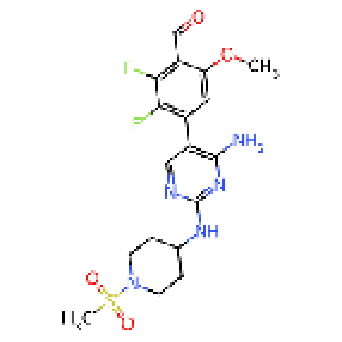 COc1cc(-c2cnc(NC3CCN(S(C)(=O)=O)CC3)nc2N)c(F)c(F)c1C=O